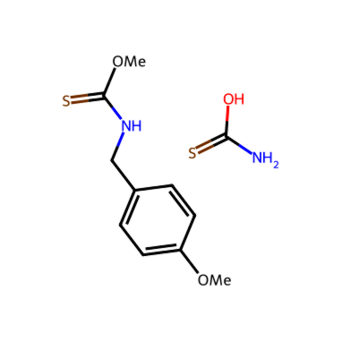 COC(=S)NCc1ccc(OC)cc1.NC(O)=S